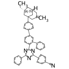 CC[C@@H]1C[C@@H]2C[C@H](C)CC(c3ccc(-c4ccc(-c5nc(-c6ccccc6)nc(-c6ccc(C#N)cc6)n5)c(-c5ccccc5)c4)cc3)(C1)C2